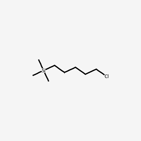 C[Si](C)(C)C[CH]CCCCl